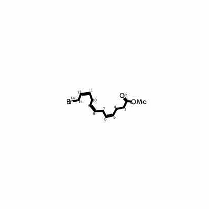 COC(=O)CC/C=C\C/C=C\C/C=C\CBr